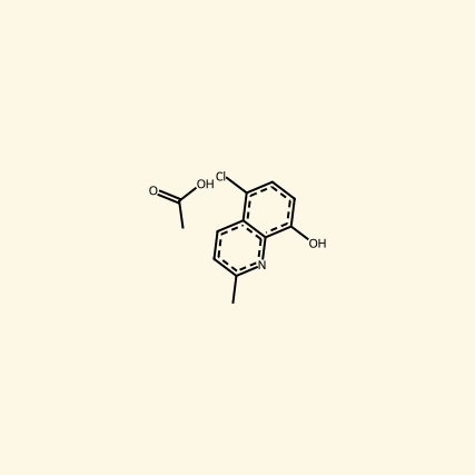 CC(=O)O.Cc1ccc2c(Cl)ccc(O)c2n1